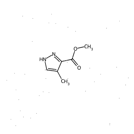 COC(=O)c1n[nH][c]c1C